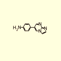 Nc1ccc(-c2cnc3nccn3c2)cc1